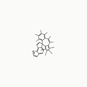 CC1=C(C)c2c(C)c(C)c(C)c(C)c2C2(C=Cc3c2ccc2ccsc32)c2c(C)c(C)c(C)c(C)c21